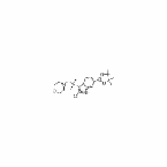 CC(C)(CN1CCOCC1)n1c(=O)[nH]c2cc(B3OC(C)(C)C(C)(C)O3)ccc21